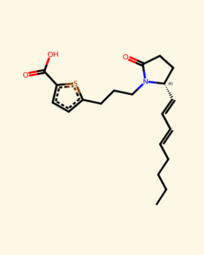 CCCCC=CC=C[C@H]1CCC(=O)N1CCCc1ccc(C(=O)O)s1